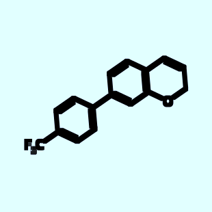 FC(F)(F)c1ccc(-c2ccc3c(c2)OCC=C3)cc1